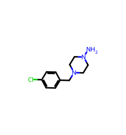 NN1CCN(Cc2ccc(Cl)cc2)CC1